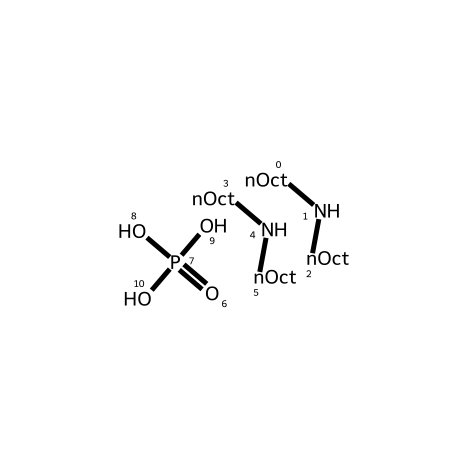 CCCCCCCCNCCCCCCCC.CCCCCCCCNCCCCCCCC.O=P(O)(O)O